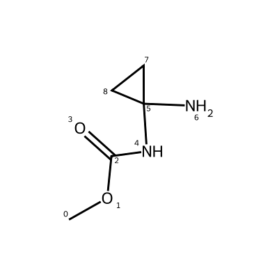 COC(=O)NC1(N)CC1